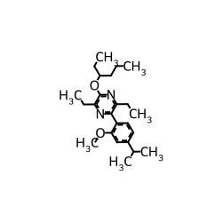 CCCC(CC)Oc1nc(CC)c(-c2ccc(C(C)C)cc2OC)nc1CC